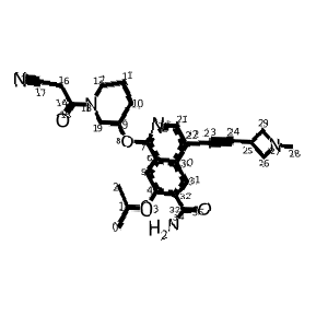 CC(C)Oc1cc2c(OC3CCCN(C(=O)CC#N)C3)ncc(C#CC3CN(C)C3)c2cc1C(N)=O